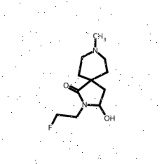 CN1CCC2(CC1)CC(O)N(CCF)C2=O